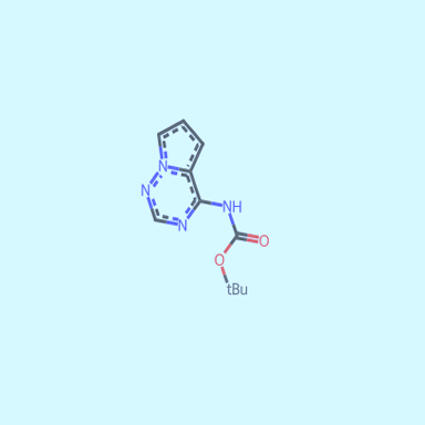 CC(C)(C)OC(=O)Nc1ncnn2cccc12